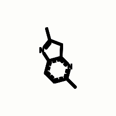 CC1=Nc2ccc(C)nc2C1